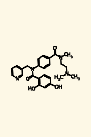 CN(C)CCN(C)C(=O)c1ccc(N(Cc2cccnc2)C(=O)c2ccc(O)cc2O)cc1